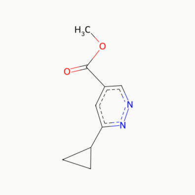 COC(=O)c1cnnc(C2CC2)c1